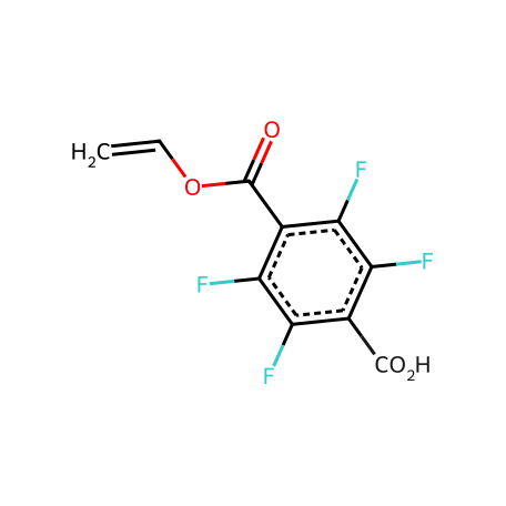 C=COC(=O)c1c(F)c(F)c(C(=O)O)c(F)c1F